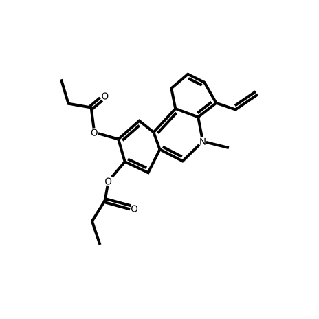 C=CC1=C2C(=c3cc(OC(=O)CC)c(OC(=O)CC)cc3=CN2C)CC=C1